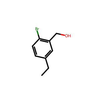 CCc1ccc(Br)c(CO)c1